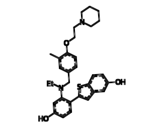 CCN(Cc1ccc(OCCN2CCCCC2)c(C)c1)c1cc(O)ccc1-c1cc2cc(O)ccc2s1